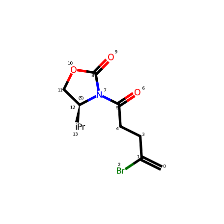 C=C(Br)CCC(=O)N1C(=O)OC[C@@H]1C(C)C